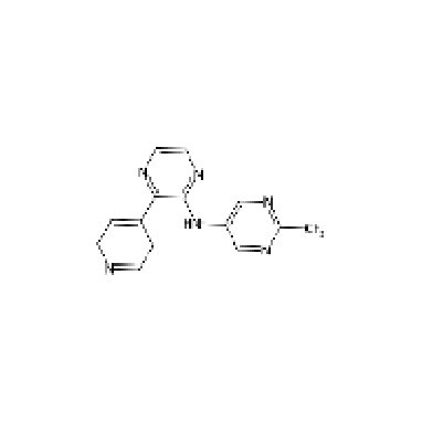 FC(F)(F)c1ncc(Nc2nccnc2C2=CCN=CC2)cn1